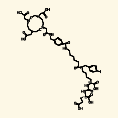 O=C(O)CC[C@H](NC(=O)N[C@@H](CCCCN(Cc1ccc(I)cc1)C(=O)CCCCCNC(=O)c1ccc(CNC(=O)CN2CCN(CC(=O)O)CCN(CC(=O)O)CCN(CC(=O)O)CC2)cc1)C(=O)O)C(=O)O